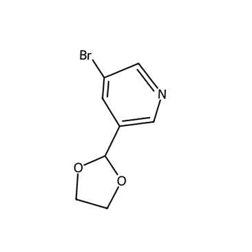 Brc1cncc(C2OCCO2)c1